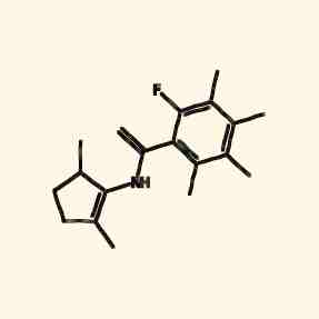 C=C(NC1=C(C)CCC1C)c1c(C)c(C)c(C)c(C)c1F